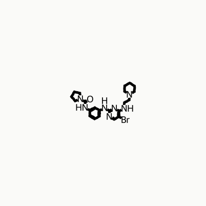 O=C(Nc1cccc(Nc2ncc(Br)c(NCCN3CCCCC3)n2)c1)N1CCCC1